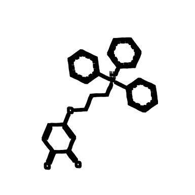 O=C1C=CC(OCCC[PH](c2ccccc2)(c2ccccc2)c2ccccc2)=CC1=O